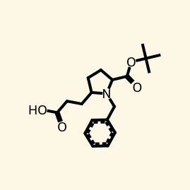 CC(C)(C)OC(=O)C1CCC(CCC(=O)O)N1Cc1ccccc1